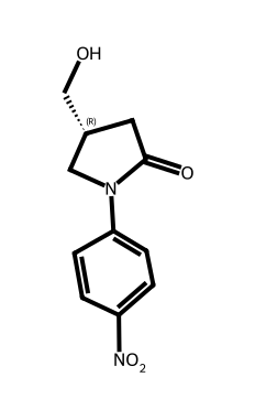 O=C1C[C@@H](CO)CN1c1ccc([N+](=O)[O-])cc1